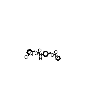 O=C(NC1CCC(COC(=O)N2CCCC2)CC1)OCc1cccc(Cl)n1